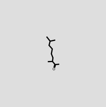 CC(=O)C(C)CCCCC(C)C